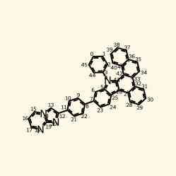 c1ccc(-n2c3cc(-c4ccc(-c5cn6cccnc6n5)cc4)ccc3c3c4ccccc4c4ccc5ccccc5c4c32)cc1